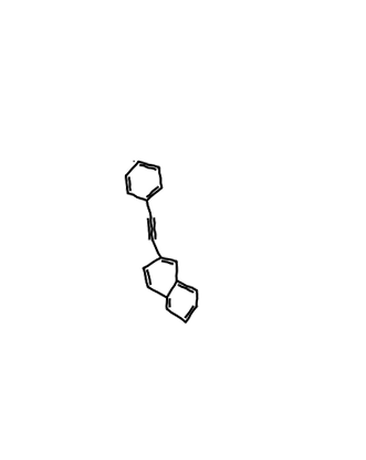 C(#Cc1ccc2ccccc2c1)c1cc[c]cc1